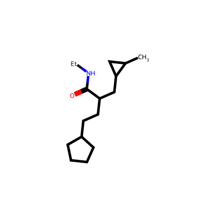 CCNC(=O)C(CCC1CCCC1)CC1CC1C